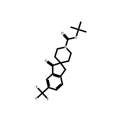 CC(C)(C)OC(=O)N1CCC2(CC1)Cc1ccc(C(F)(F)F)cc1C2=O